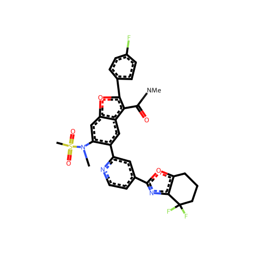 CNC(=O)c1c(-c2ccc(F)cc2)oc2cc(N(C)S(C)(=O)=O)c(-c3cc(-c4nc5c(o4)CCCC5(F)F)ccn3)cc12